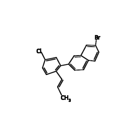 CC=Cc1ccc(Cl)cc1-c1ccc2ccc(Br)cc2c1